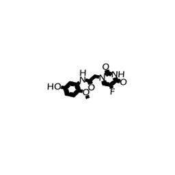 COc1ccc(O)cc1NC(=O)Cn1cc(F)c(=O)[nH]c1=O